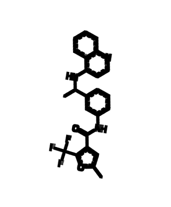 Cc1cc(C(=O)Nc2cccc(C(C)Nc3ccnc4ccccc34)c2)c(C(F)(F)F)o1